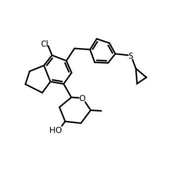 CC1CC(O)CC(c2cc(Cc3ccc(SC4CC4)cc3)c(Cl)c3c2CCC3)O1